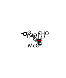 CO[C@@H]1CC[C@@]23CC[C@@H](C)[C@@](C)([C@H](OC(=O)COS(=O)(=O)c4ccc(C)cc4)C[C@@](C)(CC=O)C(=O)[C@@H]2C)[C@@H]13